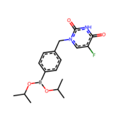 CC(C)OB(OC(C)C)c1ccc(Cn2cc(F)c(=O)[nH]c2=O)cc1